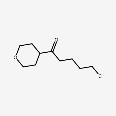 O=C(CCCCCl)C1CCOCC1